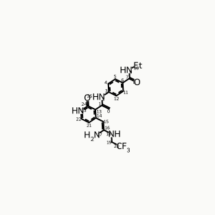 C=C(Nc1ccc(C(=O)NCC)cc1)c1c(/C=C(\N)NCC(F)(F)F)cc[nH]c1=O